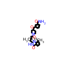 Cc1cccc2c(=O)[nH]c(CC(C)(C)CC(=O)N3CCC(C(=O)c4cccc(C(N)=O)c4)CC3)nc12